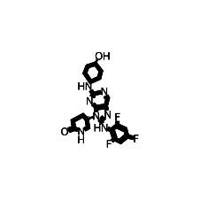 O=C1CC[C@@H](n2c(Nc3c(F)cc(F)cc3F)nc3cnc(N[C@H]4CC[C@H](O)CC4)nc32)CN1